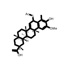 C=C(O)[C@]1(C)CC[C@]2(C)CC[C@]3(C)C4=CC(SC(C)=O)c5c(cc(OC)c(O)c5C)[C@]4(C)CC[C@@]3(C)[C@@H]2C1